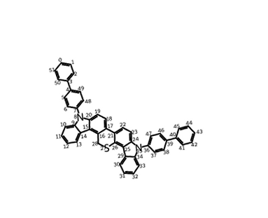 c1ccc(-c2ccc(-n3c4ccccc4c4c5c(ccc43)-c3ccc4c(c3SC5)c3ccccc3n4-c3ccc(-c4ccccc4)cc3)cc2)cc1